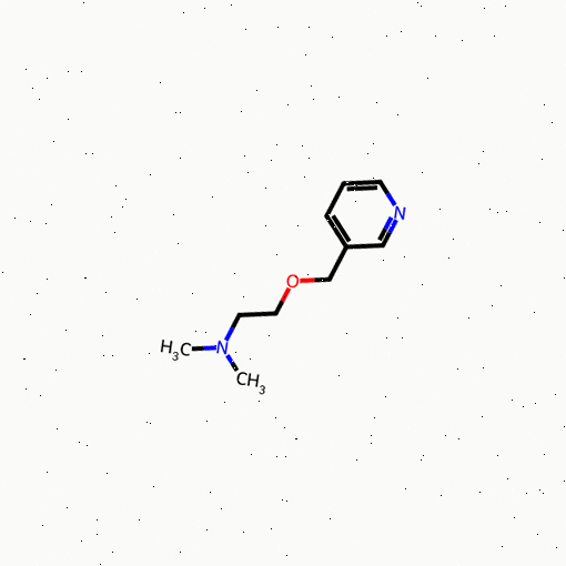 CN(C)CCOCc1cccnc1